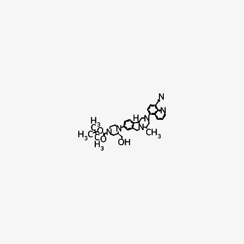 C[C@@H]1CN(c2ccc(C#N)c3ncccc23)C[C@@H]2c3ccc(N4CCN(C(=O)OC(C)(C)C)C[C@@H]4CO)cc3CN12